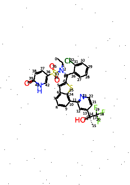 CCN([C@@H](c1cc2cccc(-c3cc([C@](C)(O)C(F)(F)F)ccn3)c2s1)c1ccccc1Cl)S(=O)(=O)c1ccc(=O)[nH]c1